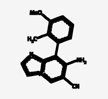 COc1cccc(-c2c(N)c(C#N)cn3ccnc23)c1C